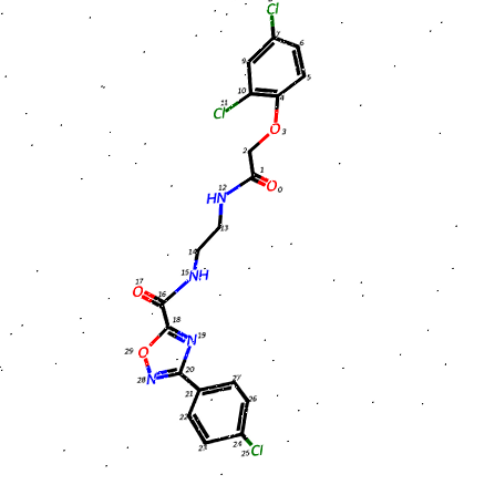 O=C(COc1ccc(Cl)cc1Cl)NCCNC(=O)c1nc(-c2ccc(Cl)cc2)no1